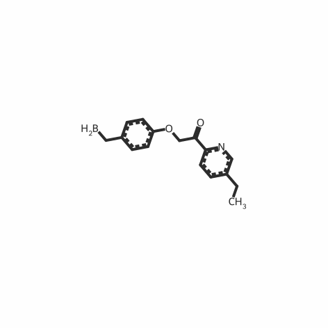 BCc1ccc(OCC(=O)c2ccc(CC)cn2)cc1